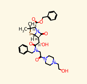 CC1(C)S[C@@H]2[C@H]([C@H](O)C(=O)N(CC(=O)N3CCN(CCO)CC3)Cc3ccccc3)C(=O)N2[C@H]1C(=O)OCc1ccccc1